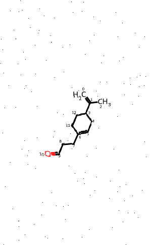 C=C(C)C1CC=C(CCC=O)CC1